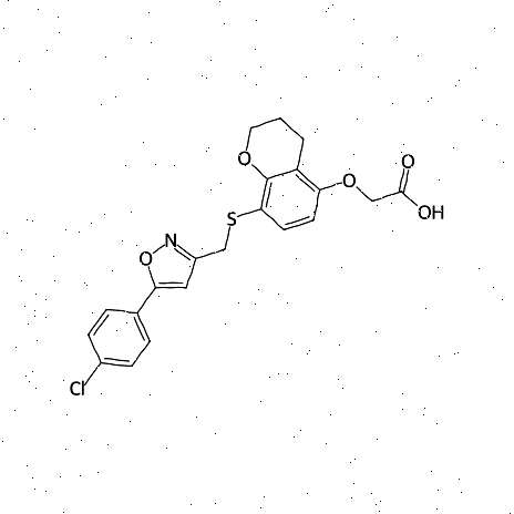 O=C(O)COc1ccc(SCc2cc(-c3ccc(Cl)cc3)on2)c2c1CCCO2